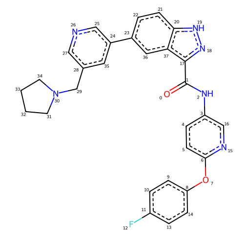 O=C(Nc1ccc(Oc2ccc(F)cc2)nc1)c1n[nH]c2ccc(-c3cncc(CN4CCCC4)c3)cc12